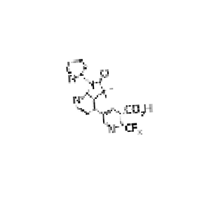 CC1(C)C(=O)N(c2ccccn2)c2nccc(-c3cnc(C(F)(F)F)c(C(=O)O)c3)c21